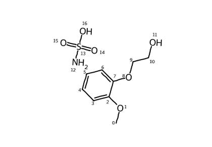 COc1ccccc1OCCO.NS(=O)(=O)O